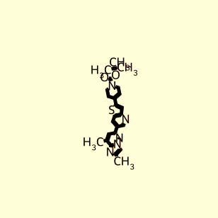 Cc1cn2nc(-c3cnc4cc(C5=CCN(C(=O)OC(C)(C)C)CC5)sc4c3)cc(C)c2n1